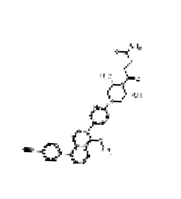 COc1c(-c2ccc(N3C[C@@H](C)N(C(=O)COC(C)=O)[C@@H](C)C3)nc2)cnc2c(-c3ccc(C#N)cc3)cccc12